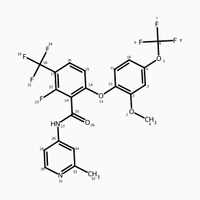 COc1cc(OC(F)(F)F)ccc1Oc1ccc(C(F)(F)F)c(F)c1C(=O)Nc1ccnc(C)c1